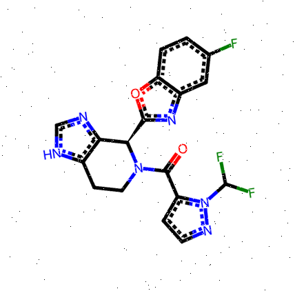 O=C(c1ccnn1C(F)F)N1CCc2[nH]cnc2[C@H]1c1nc2cc(F)ccc2o1